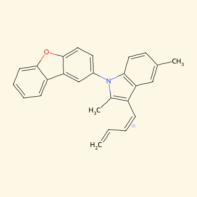 C=C/C=C\c1c(C)n(-c2ccc3oc4ccccc4c3c2)c2ccc(C)cc12